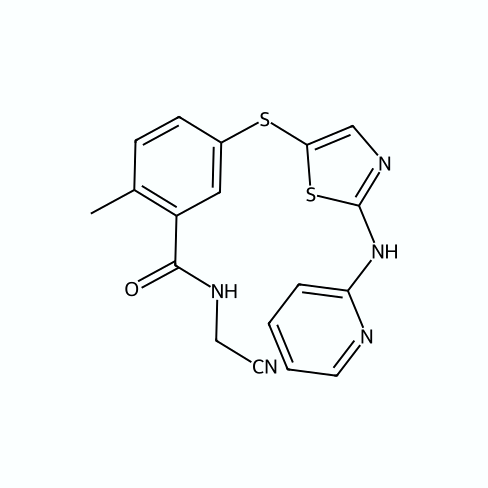 Cc1ccc(Sc2cnc(Nc3ccccn3)s2)cc1C(=O)NCC#N